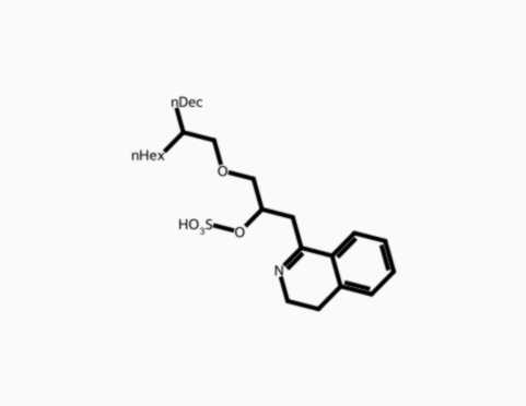 CCCCCCCCCCC(CCCCCC)COCC(CC1=NCCc2ccccc21)OS(=O)(=O)O